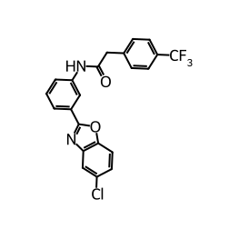 O=C(Cc1ccc(C(F)(F)F)cc1)Nc1cccc(-c2nc3cc(Cl)ccc3o2)c1